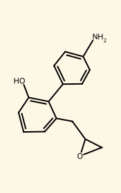 Nc1ccc(-c2c(O)cccc2CC2CO2)cc1